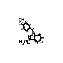 COc1ccc(Cn2nc(OC)c3ccccc32)cc1